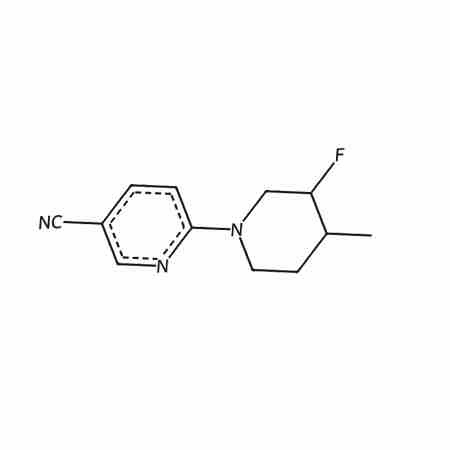 CC1CCN(c2ccc(C#N)cn2)CC1F